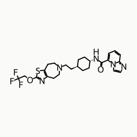 O=C(N[C@H]1CC[C@H](CCN2CCc3nc(OCC(F)(F)F)sc3CC2)CC1)c1cccc2nccn12